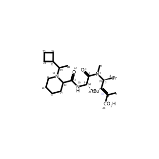 C/C(=C\[C@H](C(C)C)N(C)C(=O)[C@@H](NC(=O)C1CCCCN1C(C)C1CCC1)C(C)(C)C)C(=O)O